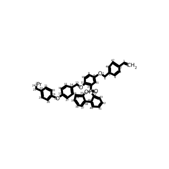 C=Cc1ccc(COc2ccc(OCc3ccc(Oc4ccc(CC(C)C)cc4)cc3)c(P3(=O)Oc4ccccc4-c4ccccc43)c2)cc1